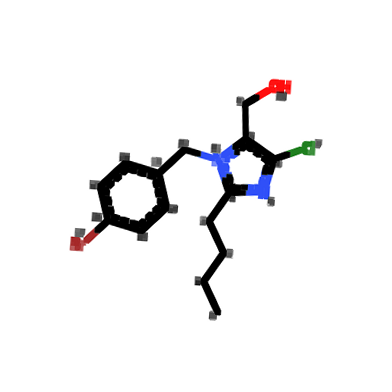 CCCCc1nc(Cl)c(CO)n1Cc1ccc(Br)cc1